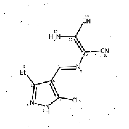 CCc1n[nH]c(Cl)c1C=NC(C#N)=C(N)C#N